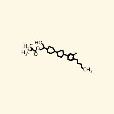 C=C(C)C(=O)OCC(CO)C1CCC(C2CCC(c3ccc(CCCCC)c(F)c3)CC2)CC1